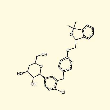 CC1(C)OC(COc2ccc(Cc3cc([C@@H]4O[C@H](CO)C[C@H](O)C4O)ccc3Cl)cc2)c2ccccc21